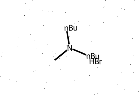 Br.CCCCN(C)CCCC